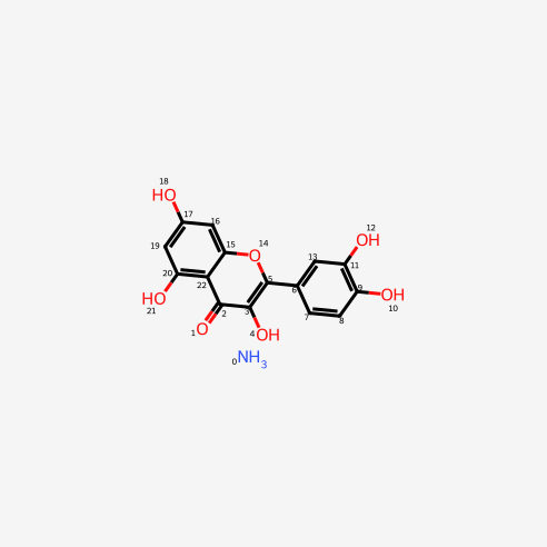 N.O=c1c(O)c(-c2ccc(O)c(O)c2)oc2cc(O)cc(O)c12